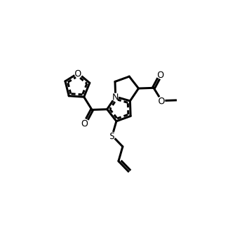 C=CCSc1cc2n(c1C(=O)c1ccoc1)CCC2C(=O)OC